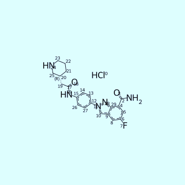 Cl.NC(=O)c1cc(F)cc2cn(-c3ccc(NC(=O)C[C@H]4CCCNC4)cc3)nc12